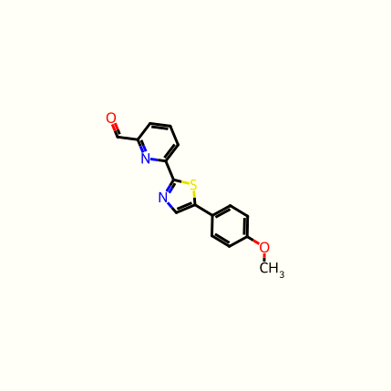 COc1ccc(-c2cnc(-c3cccc(C=O)n3)s2)cc1